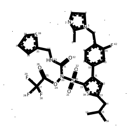 Cc1nccn1Cc1ccc(-c2cc(CC(C)C)sc2S(=O)(=O)N(OC(=O)C(F)(F)F)C(=O)NCc2cccs2)cc1F